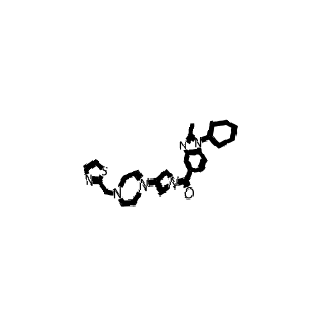 Cc1nc2cc(C(=O)N3CC(N4CCN(Cc5nccs5)CC4)C3)ccc2n1C1CCCCC1